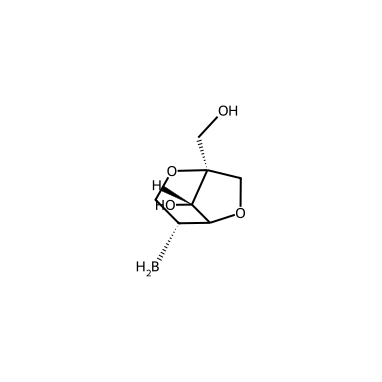 B[C@@H]1CO[C@@]2(CO)COC1[C@@H]2O